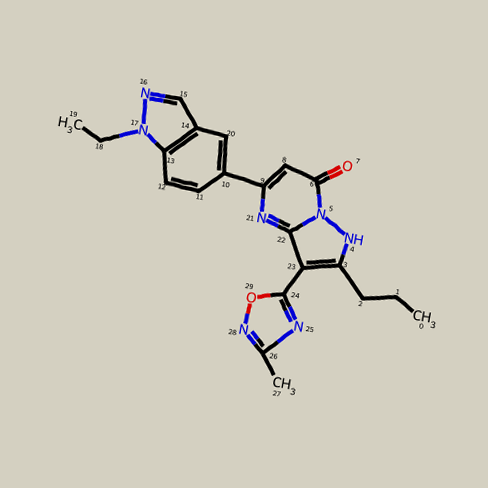 CCCc1[nH]n2c(=O)cc(-c3ccc4c(cnn4CC)c3)nc2c1-c1nc(C)no1